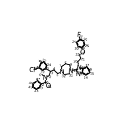 CN(CC(CCN1CCCN(c2nc3ccccc3n2CCCOc2ccc(F)cc2)CC1)c1cccc(Cl)c1)C(=O)c1ccccc1